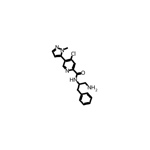 Cn1nccc1-c1cnc(C(=O)NC(CN)Cc2ccccc2)cc1Cl